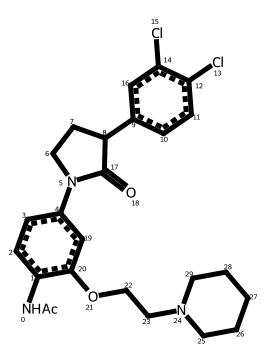 CC(=O)Nc1ccc(N2CCC(c3ccc(Cl)c(Cl)c3)C2=O)cc1OCCN1CCCCC1